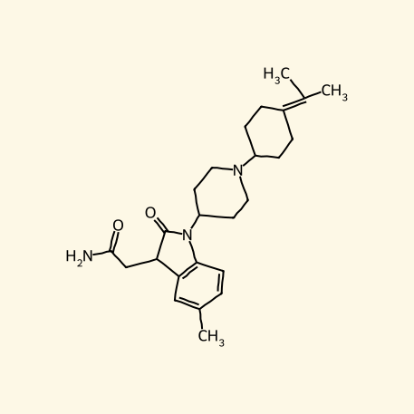 CC(C)=C1CCC(N2CCC(N3C(=O)C(CC(N)=O)c4cc(C)ccc43)CC2)CC1